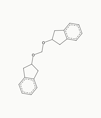 c1ccc2c(c1)CC(OCOC1Cc3ccccc3C1)C2